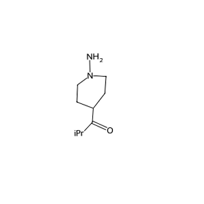 CC(C)C(=O)C1CCN(N)CC1